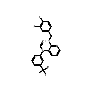 O=CN(c1cccc(C(F)(F)F)c1)c1cccnc1NCc1ccc(F)c(F)c1